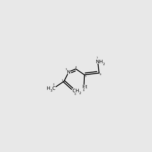 C=C(C)/N=C\C(=C/N)CC